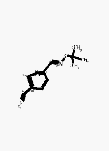 CC(C)(C)SN=Cc1ccc(C#N)cc1